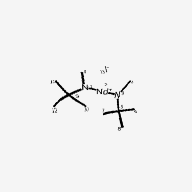 C[N]([Nd+][N](C)C(C)(C)C)C(C)(C)C.[I-]